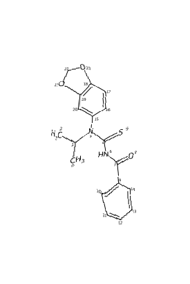 CC(C)N(C(=S)NC(=O)c1ccccc1)c1ccc2c(c1)OCO2